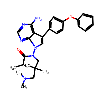 CCC(=O)N(CC(C)(C)CN(C)C)n1cc(-c2ccc(Oc3ccccc3)cc2)c2c(N)ncnc21